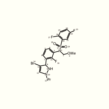 COCN(c1cccc(C2NN(C(C)C)C=C2Br)c1F)S(=O)(=O)c1cc(F)ccc1F